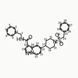 O=C(NCc1ccccc1)c1cnn2ccc(C3CCN(S(=O)(=O)Cc4ccccc4)CC3)cc12